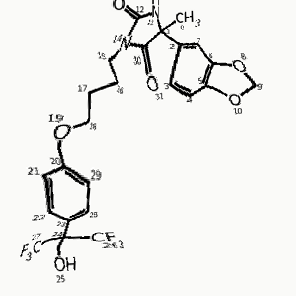 CC1(c2ccc3c(c2)OCO3)NC(=O)N(CCCCOc2ccc(C(O)(C(F)(F)F)C(F)(F)F)cc2)C1=O